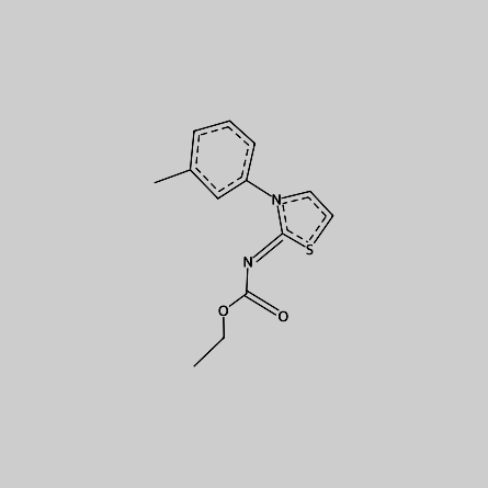 CCOC(=O)/N=c1\sccn1-c1cccc(C)c1